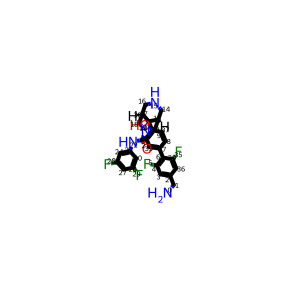 NCc1cc(F)c(-c2ccc([C@]3(O)[C@@H]4CNC[C@H]3CN(C(=O)Nc3cc(F)cc(F)c3)C4)cc2)c(F)c1